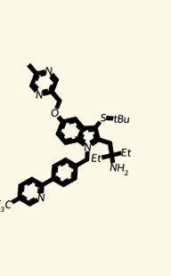 CCC(N)(CC)Cc1c(SC(C)(C)C)c2cc(OCc3cnc(C)cn3)ccc2n1Cc1ccc(-c2ccc(C(F)(F)F)cn2)cc1